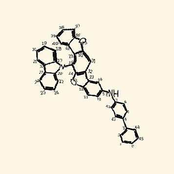 c1ccc(-c2ccc(Nc3ccc4oc5c(-n6c7ccccc7c7ccccc76)c6c(cc5c4c3)oc3ccccc36)cc2)cc1